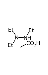 CC(=O)O.CCNN(CC)CC